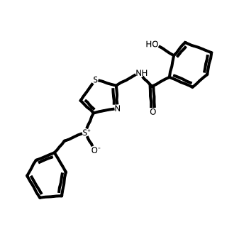 O=C(Nc1nc([S+]([O-])Cc2ccccc2)cs1)c1ccccc1O